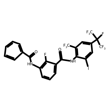 O=C(Nc1cccc(C(=O)Nc2c(I)cc(C(F)(C(F)(F)F)C(F)(F)F)cc2C(F)(F)F)c1F)c1ccccc1